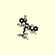 Cc1cccc2[nH]cc(-c3cn4c(=O)c(C(C)c5ccccc5)nc-4c(/C=C/CNC(=N)N)[nH]3)c12